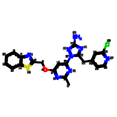 Cc1nc(OCc2nc3ccccc3s2)cc(-n2nc(N)nc2Cc2ccnc(Cl)c2)n1